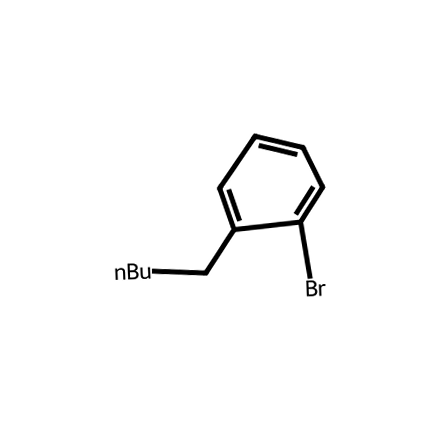 [CH2]CCCCc1ccccc1Br